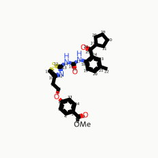 COC(=O)c1ccc(OCCc2csc(NC(=O)Nc3ccc(C)cc3C(=O)C3CCCC3)n2)cc1